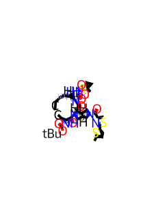 Cc1ccc(-c2nc(C(=O)N3C[C@H]4CN5C(=O)[C@@H](NC(=O)OC(C)(C)C)CCCCC/C=C\[C@H]6C[C@@]6(C(=O)NS(=O)(=O)C6(C)CC6)NC(=O)[C@@H]5[C@H]4C3)cs2)s1